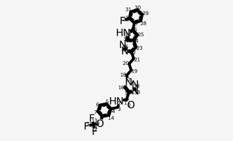 O=C(NCc1cccc(OC(F)(F)F)c1)c1cn(CCCCc2cc3cc(-c4ccccc4F)[nH]c3nn2)nn1